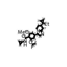 CCC1(c2ccn3c(-c4cc(OC)c(C(=O)NC5CC5)c(OC(F)F)c4)cnc3c2)CC1